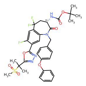 CC(C)(C)OC(=O)N[C@H]1CC(F)(F)c2cc(F)c(-c3nnc(C(C)(C)S(C)(=O)=O)o3)cc2N(Cc2ccc(Oc3ccccc3)cc2)C1=O